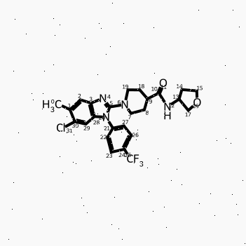 Cc1cc2nc(N3CCC(C(=O)NC4CCOC4)CC3)n(-c3ccc(C(F)(F)F)cc3)c2cc1Cl